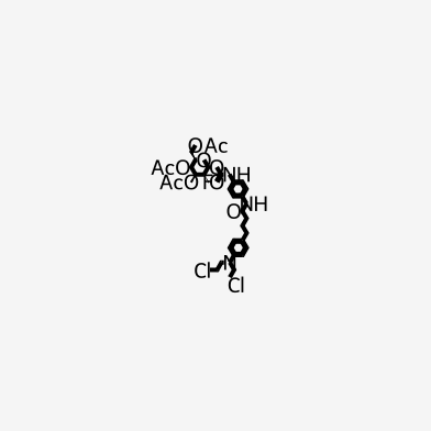 CC(=O)OC[C@H]1O[C@@H](OC(=O)Nc2ccc(NC(=O)CCCc3ccc(N(CCCl)CCCl)cc3)cc2)[C@H](F)[C@@H](OC(C)=O)[C@@H]1OC(C)=O